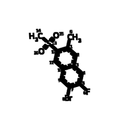 Cc1cc2cc(F)c(Br)cc2cc1S(C)(=O)=O